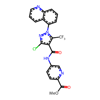 COC(=O)c1ccc(NC(=O)c2c(Cl)nn(-c3cccc4ncccc34)c2C(F)(F)F)cn1